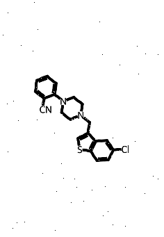 N#Cc1ccccc1N1CCN(Cc2csc3ccc(Cl)cc23)CC1